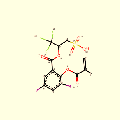 C=C(C)C(=O)Oc1c(I)cc(I)cc1C(=O)OC(CS(=O)(=O)O)C(F)(F)F